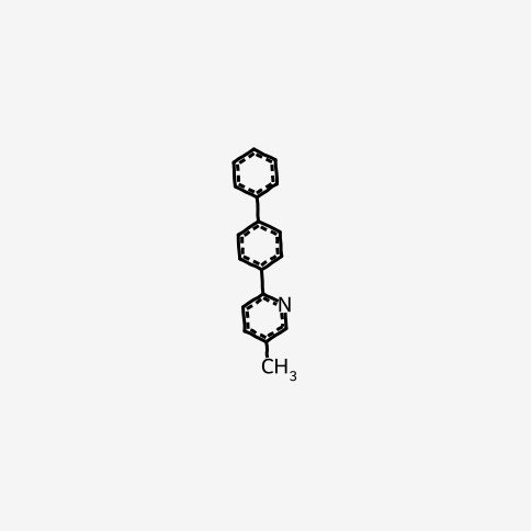 Cc1ccc(-c2ccc(-c3ccccc3)cc2)nc1